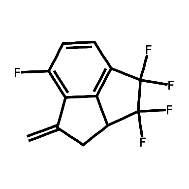 C=C1CC2c3c(ccc(F)c31)C(F)(F)C2(F)F